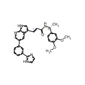 COc1ccc([C@@H](C)NC(=O)/C=C/c2c[nH]c3ncc(-c4cccc(-c5ncc[nH]5)c4)cc23)cc1OC